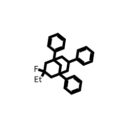 CCC1(F)CC2(c3ccccc3)CC(c3ccccc3)CC(c3ccccc3)(C1)C2